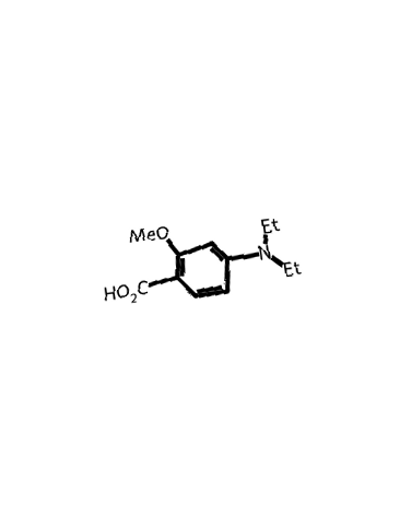 CCN(CC)c1ccc(C(=O)O)c(OC)c1